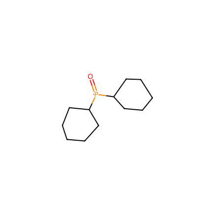 O=[P](C1CCCCC1)C1CCCCC1